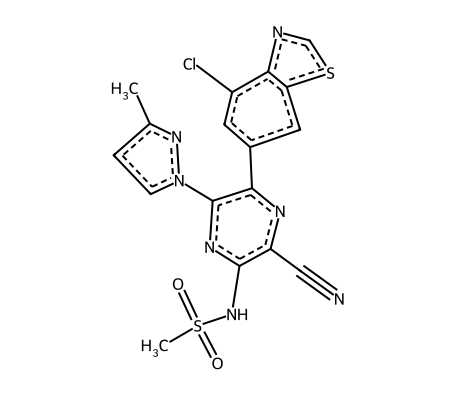 Cc1ccn(-c2nc(NS(C)(=O)=O)c(C#N)nc2-c2cc(Cl)c3ncsc3c2)n1